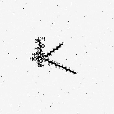 CCCCCCCCCCCCCCCCCCN(C(=O)CCCCCCCCCCC)[C@@H]1O[C@H](CO)[C@H](O)[C@H](O)[C@H]1NC(=O)CNC(=O)CCC(=O)O